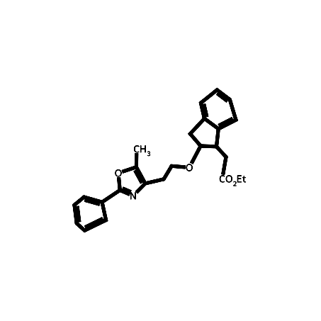 CCOC(=O)CC1c2ccccc2CC1OCCc1nc(-c2ccccc2)oc1C